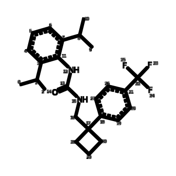 CC(C)c1cccc(C(C)C)c1NC(=O)NCC1(c2ccc(C(F)(F)F)cc2)CCC1